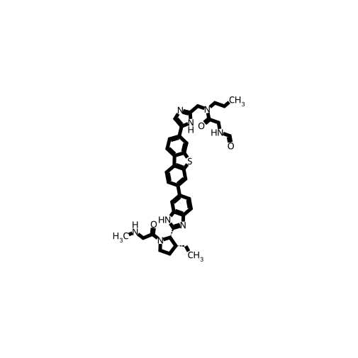 CCCN(Cc1ncc(-c2ccc3c(c2)sc2cc(-c4ccc5nc([C@@H]6[C@H](CC)CCN6C(=O)CNC)[nH]c5c4)ccc23)[nH]1)C(=O)CNC=O